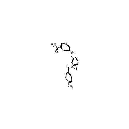 Cc1ccc(C(=O)Nc2cccc(CNc3cncc(C(N)=O)c3)c2)cc1